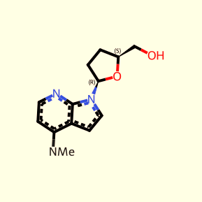 CNc1ccnc2c1ccn2[C@H]1CC[C@@H](CO)O1